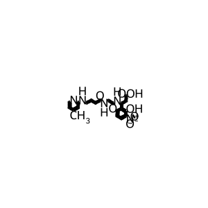 Cc1ccnc(NCCCC(=O)NCC(=O)NC(CC(=O)O)c2cccc([N+](=O)[O-])c2O)c1